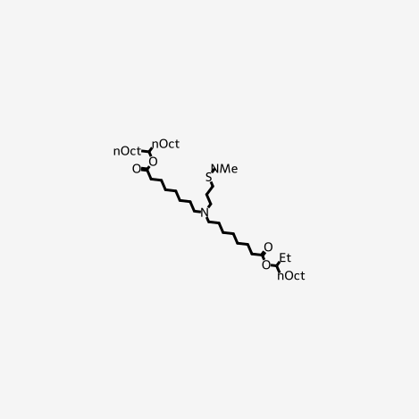 CCCCCCCCC(CC)OC(=O)CCCCCCCN(CCCCCCCC(=O)OC(CCCCCCCC)CCCCCCCC)CCCSNC